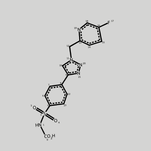 O=C(O)NS(=O)(=O)c1ccc(-c2cn(Cc3ccc(F)cn3)nn2)cc1